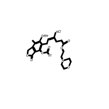 CCC(=O)Oc1c(CC=C(C)CCC(=O)OCCN2CCOCC2)c(OC)c(C)c2c1C(=O)OC2.Cl